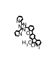 CC1(C)c2ccccc2-c2cc3c(cc21)oc1c(-c2nc(-c4ccccn4)nc(-c4ccccn4)n2)cccc13